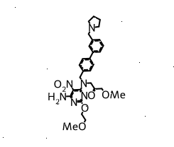 COCCOc1nc(N)c([N+](=O)[O-])c(N(CC(=O)COC)Cc2ccc(-c3cccc(CN4CCCC4)c3)cc2)n1